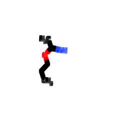 CCCOC(C)=N